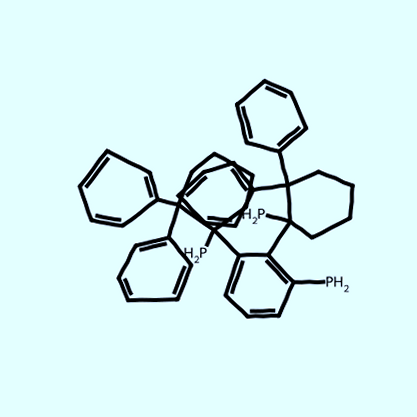 Pc1cccc(C2(P)CCCCC2(c2ccccc2)c2ccccc2)c1C1(P)CCCCC1(c1ccccc1)c1ccccc1